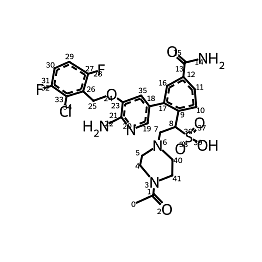 CC(=O)N1CCN(CC(c2ccc(C(N)=O)cc2-c2cnc(N)c(OCc3c(F)ccc(F)c3Cl)c2)S(=O)(=O)O)CC1